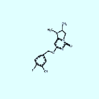 C[C@H]1Cn2c(cc(OCc3ccc(F)c(C#N)c3)nc2=O)N1C